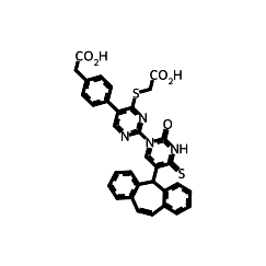 O=C(O)CSc1nc(-n2cc(C3c4ccccc4C=Cc4ccccc43)c(=S)[nH]c2=O)ncc1-c1ccc(CC(=O)O)cc1